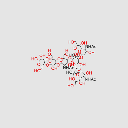 CC(=O)N[C@H]1[C@H](O[C@H]2[C@@H](O)[C@@H](CO)O[C@@H](O[C@H]3[C@H](O)[C@@H](O)C(O)O[C@@H]3CO)[C@@H]2O)O[C@H](CO)[C@@H](O[C@@H]2O[C@H](CO[C@]3(C(=O)O)C[C@H](O)[C@@H](NC(C)=O)[C@H]([C@H](O)[C@H](O)CO)O3)[C@H](O)[C@H](O[C@]3(C(=O)O)C[C@H](O)[C@@H](NC(C)=O)[C@H]([C@H](O)[C@H](O)CO)O3)[C@H]2O)[C@@H]1O